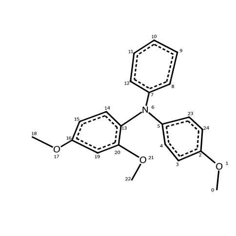 COc1ccc(N(c2ccccc2)c2ccc(OC)cc2OC)cc1